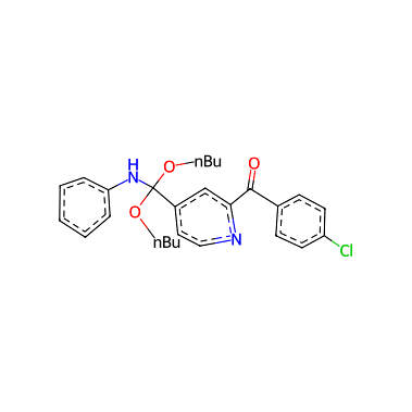 CCCCOC(Nc1ccccc1)(OCCCC)c1ccnc(C(=O)c2ccc(Cl)cc2)c1